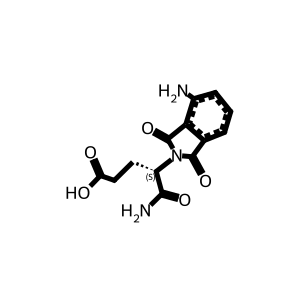 NC(=O)[C@H](CCC(=O)O)N1C(=O)c2cccc(N)c2C1=O